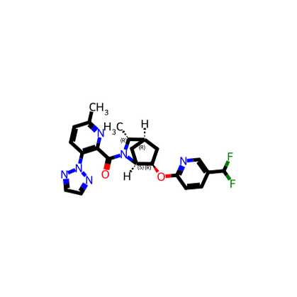 Cc1ccc(-n2nccn2)c(C(=O)N2[C@H](C)[C@H]3C[C@@H](Oc4ccc(C(F)F)cn4)[C@@H]2C3)n1